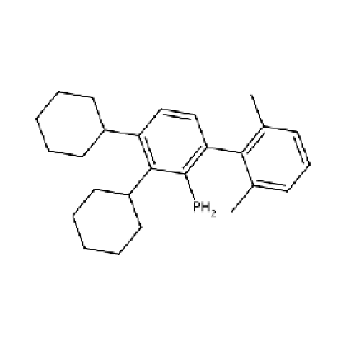 Cc1cccc(C)c1-c1ccc(C2CCCCC2)c(C2CCCCC2)c1P